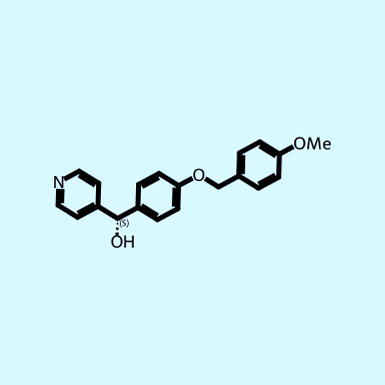 COc1ccc(COc2ccc([C@H](O)c3ccncc3)cc2)cc1